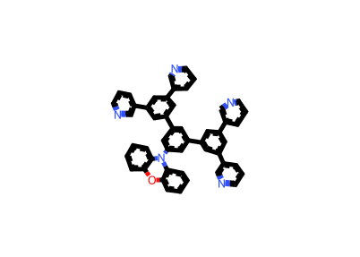 c1cncc(-c2cc(-c3cccnc3)cc(-c3cc(-c4cc(-c5cccnc5)cc(-c5cccnc5)c4)cc(N4c5ccccc5Oc5ccccc54)c3)c2)c1